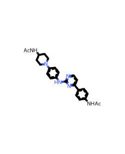 CC(=O)Nc1ccc(-c2ccnc(Nc3ccc(N4CCC(NC(C)=O)CC4)cc3)n2)cc1